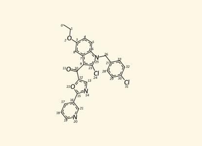 CCOc1ccc2c(c1)c(C(=O)c1cnc(-c3cccnc3)o1)c(Cl)n2Cc1ccc(Cl)cc1